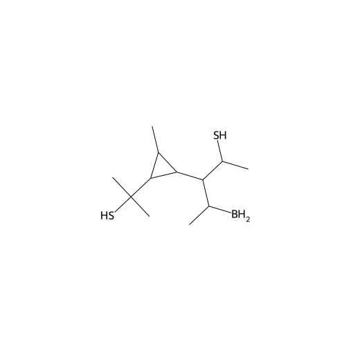 BC(C)C(C(C)S)C1C(C)C1C(C)(C)S